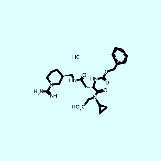 Cl.N=C(N)N1CCC[C@@H](CNC(=O)C[C@H](NC(=O)OCc2ccccc2)C(=O)N(CC(=O)O)C2CC2)C1